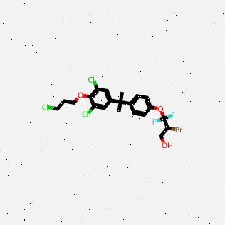 CC(C)(c1ccc(OC(F)(F)C(Br)CO)cc1)c1cc(Cl)c(OCCCCl)c(Cl)c1